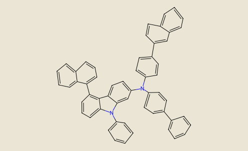 c1ccc(-c2ccc(N(c3ccc(-c4ccc5ccccc5c4)cc3)c3ccc4c5c(-c6cccc7ccccc67)cccc5n(-c5ccccc5)c4c3)cc2)cc1